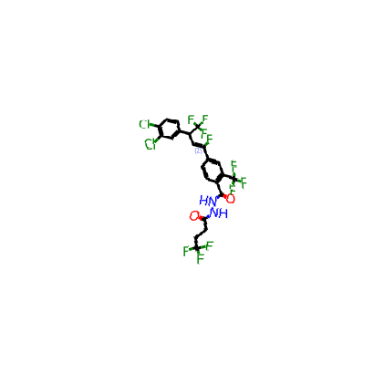 O=C(CCC(F)(F)F)NNC(=O)c1ccc(/C(F)=C/C(c2ccc(Cl)c(Cl)c2)C(F)(F)F)cc1C(F)(F)F